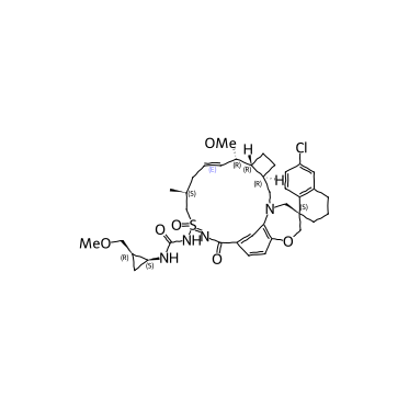 COC[C@@H]1C[C@@H]1NC(=O)NS1(=O)=NC(=O)c2ccc3c(c2)N(C[C@@H]2CC[C@H]2[C@@H](OC)/C=C/C[C@H](C)C1)C[C@@]1(CCCc2cc(Cl)ccc21)CO3